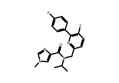 CC(C)N(Cc1ccc(F)c(-c2ccc(F)cc2)n1)C(=O)c1cn(C)cn1